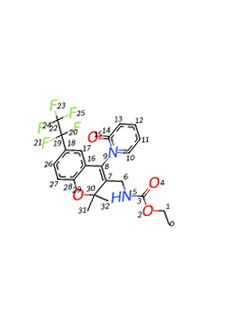 CCOC(=O)NCC1=C(n2ccccc2=O)c2cc(C(F)(F)C(F)(F)F)ccc2OC1(C)C